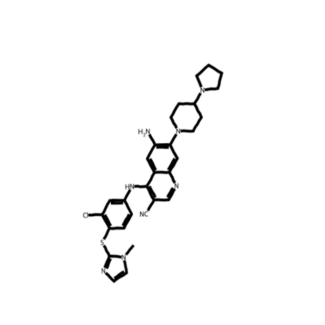 Cn1ccnc1Sc1ccc(Nc2c(C#N)cnc3cc(N4CCC(N5CCCC5)CC4)c(N)cc23)cc1Cl